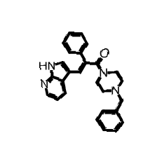 O=C(/C(=C/c1c[nH]c2ncccc12)c1ccccc1)N1CCN(Cc2ccccc2)CC1